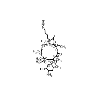 CC[C@H]1OC(=O)[C@@](C)(F)C(=O)[C@H](C)[C@@H](O[C@@H]2OC(C)CC(N)C2O)[C@](C)(OC)C[C@@H](C)CN[C@H](C)[C@H]2N(CCCCN=[N+]=[N-])C(=O)O[C@]12C